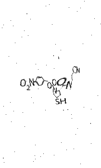 CN(CCc1cccnc1)C(=O)[C@@H]1C[C@H](S)CN1C(=O)OCc1ccc([N+](=O)[O-])cc1